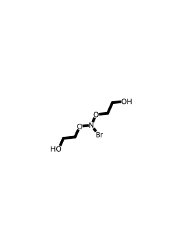 OCCON(Br)OCCO